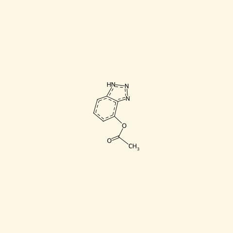 CC(=O)Oc1cccc2[nH]nnc12